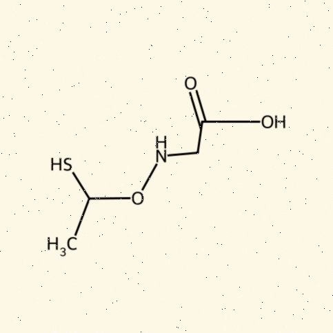 CC(S)ONCC(=O)O